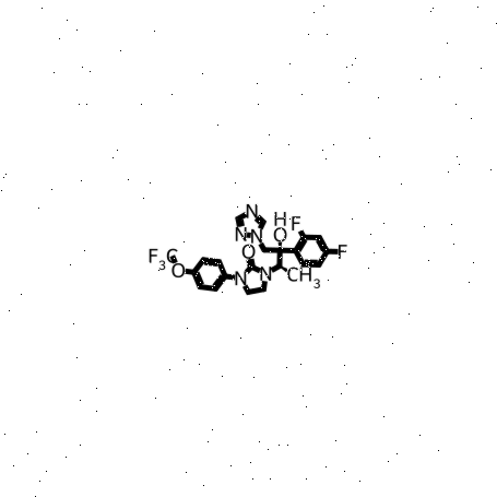 C[C@@H](N1CCN(c2ccc(OC(F)(F)F)cc2)C1=O)[C@](O)(Cn1cncn1)c1ccc(F)cc1F